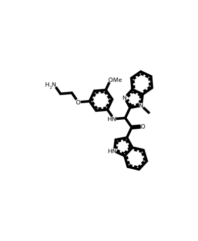 COc1cc(NC(C(=O)c2c[nH]c3ccccc23)c2nc3ccccc3n2C)cc(OCCN)c1